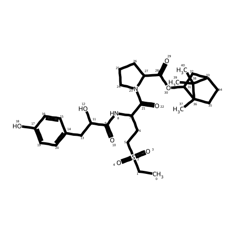 CCS(=O)(=O)CCC(NC(=O)C(O)Cc1ccc(O)cc1)C(=O)N1CCCC1C(=O)OC1CC2CCC1(C)C2(C)C